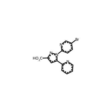 O=C(O)c1cc(-c2ccccn2)n(-c2ccc(Br)cn2)n1